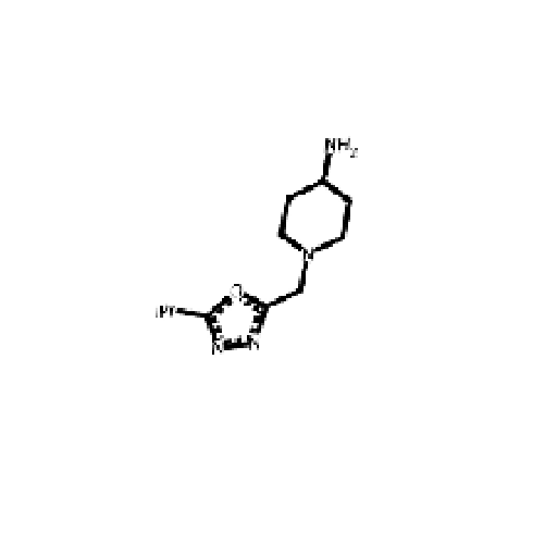 CC(C)c1nnc(CN2CCC(N)CC2)o1